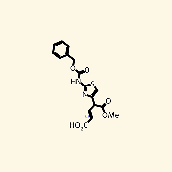 COC(=O)C(/C=C/C(=O)O)c1csc(NC(=O)OCc2ccccc2)n1